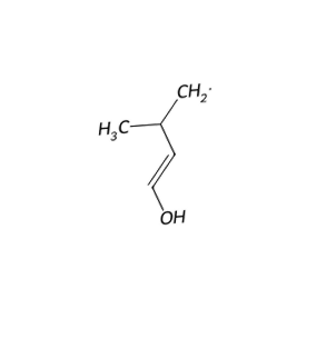 [CH2]C(C)C=CO